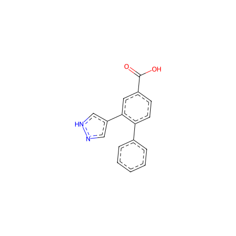 O=C(O)c1ccc(-c2ccccc2)c(-c2cn[nH]c2)c1